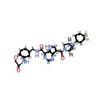 O=C1COc2ccc(CNC(=O)c3ncnc4c(C(=O)N5C[C@@H]6C[C@H]5CN6c5ccc(F)cc5)c[nH]c34)cc2N1